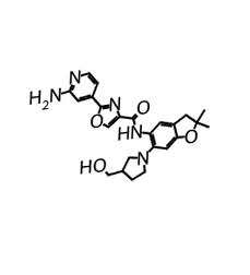 CC1(C)Cc2cc(NC(=O)c3coc(-c4ccnc(N)c4)n3)c(N3CCC(CO)C3)cc2O1